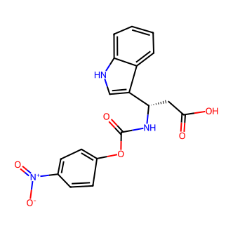 O=C(O)C[C@H](NC(=O)Oc1ccc([N+](=O)[O-])cc1)c1c[nH]c2ccccc12